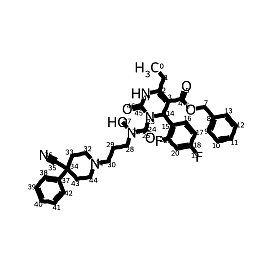 CCC1=C(C(=O)OCc2ccccc2)C(c2ccc(F)cc2F)N(C(=O)N(O)CCCN2CCC(C#N)(c3ccccc3)CC2)C(=O)N1